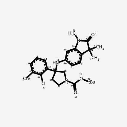 CN1C(=O)C(C)(C)c2ccc(NC3(c4cccc(Cl)c4Cl)CCN(C(=O)OC(C)(C)C)C3)cc21